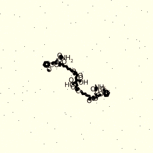 COc1ccccc1OCC(COC(N)=O)OC(C)(C)C(=O)CCCCCOC(C)(C)C(=O)CC(C(=O)O)C(CC(=O)C(C)(C)OCCCCCC(=O)C(C)(C)OC(COC(N)=O)COc1ccccc1OC)C(=O)O